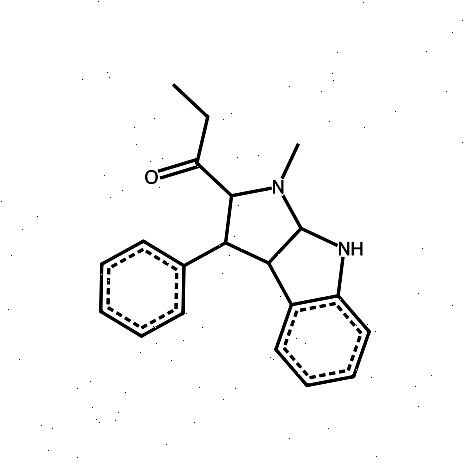 CCC(=O)C1C(c2ccccc2)C2c3ccccc3NC2N1C